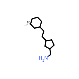 C[C@@H]1CCCC(CCC2CCC(CN)C2)C1